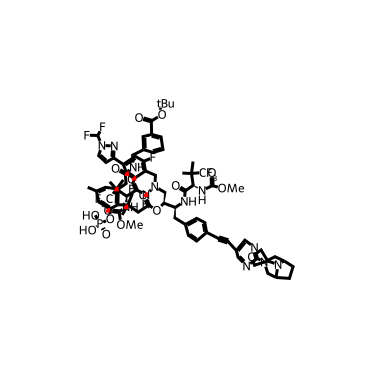 COC(=O)N[C@H](C(=O)N[C@@H](Cc1ccc(C#Cc2cnc(N3CC4CCC(C3)N4C3COC3)nc2)cc1)[C@H](CN(Cc1c(F)cc(-c2ccn(C(F)F)n2)cc1F)NC(=O)[C@@H](NC(=O)OC)C(C)(C)C(F)(F)F)OC(=O)CC(C)(C)c1c(CC(=O)NCc2cccc(C(=O)OC(C)(C)C)c2)cc(C)cc1OP(=O)(O)O)C(C)(C)C(F)(F)F